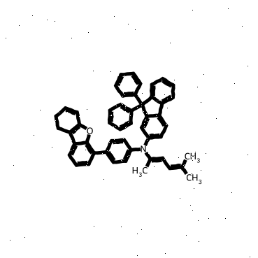 CC(C)=C/C=C(\C)N(c1ccc(-c2cccc3c4c(oc23)C=CCC4)cc1)c1ccc2c(c1)C(c1ccccc1)(c1ccccc1)c1ccccc1-2